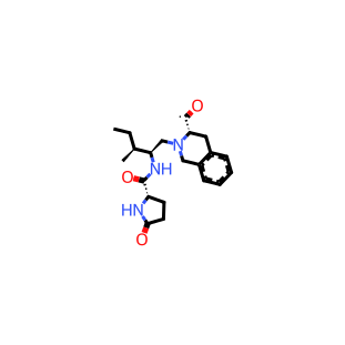 CC[C@H](C)[C@@H](CN1Cc2ccccc2C[C@H]1[C]=O)NC(=O)[C@@H]1CCC(=O)N1